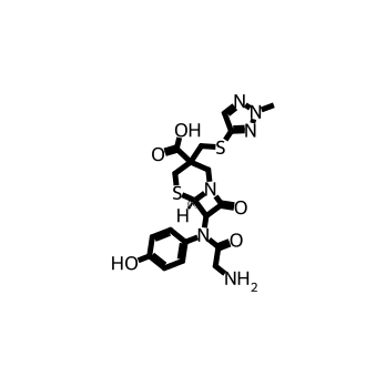 Cn1ncc(SCC2(C(=O)O)CS[C@@H]3C(N(C(=O)CN)c4ccc(O)cc4)C(=O)N3C2)n1